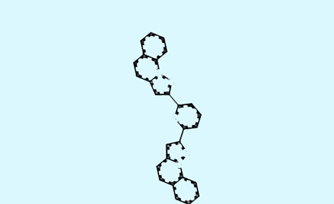 c1cc(-c2cc3ccc4ccccc4n3n2)nc(-c2cc3ccc4ccccc4n3n2)c1